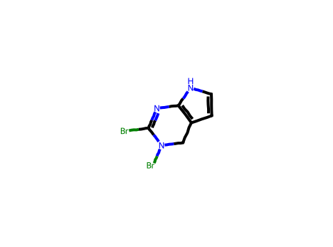 BrC1=Nc2[nH]ccc2CN1Br